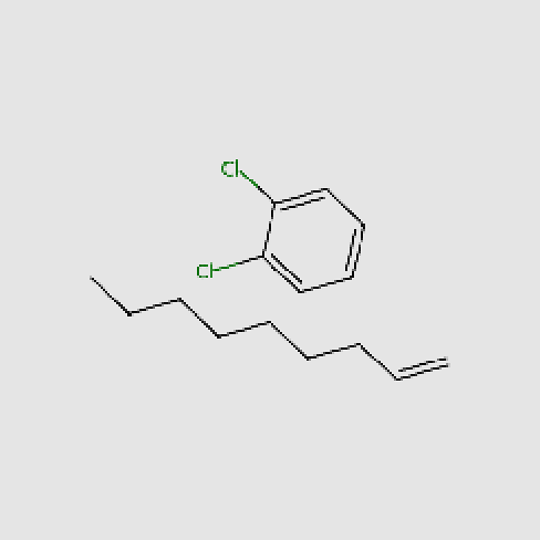 C=CCCCCCCC.Clc1ccccc1Cl